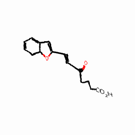 O=C(O)CCCC(=O)/C=C/C1=CC2=CC=CCC2O1